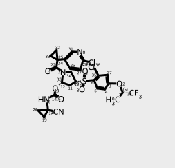 C[C@H](Oc1ccc(S(=O)(=O)[C@@H]2C[C@H](OC(=O)NC3(C#N)CC3)N(C(=O)C3(c4ccc(Cl)nc4)CC3)C2)c(Cl)c1)C(F)(F)F